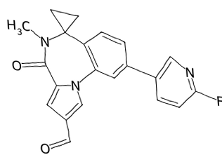 CN1C(=O)c2cc(C=O)cn2-c2cc(-c3ccc(F)nc3)ccc2C12CC2